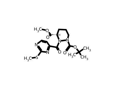 COC(=O)[C@@H]1CCCN(C(=O)OC(C)(C)C)N1C(=O)c1ccnc(SC)n1